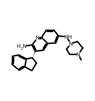 CN1CCN(Nc2ccc3nc(N)c([C@@H]4CCc5ccccc54)cc3c2)CC1